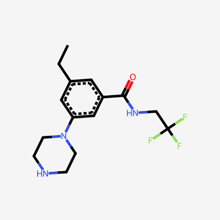 CCc1cc(C(=O)NCC(F)(F)F)cc(N2CCNCC2)c1